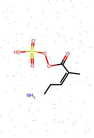 CCC=C(C)C(=O)OOS(=O)(=O)O.N